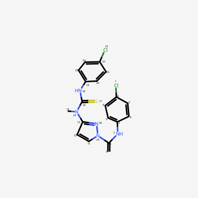 C=C(Nc1ccc(Cl)cc1)n1ccc(N(C)C(=S)Nc2ccc(Cl)cc2)n1